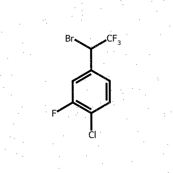 Fc1cc(C(Br)C(F)(F)F)ccc1Cl